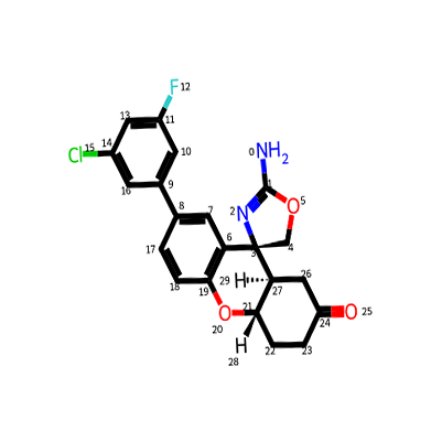 NC1=N[C@@]2(CO1)c1cc(-c3cc(F)cc(Cl)c3)ccc1O[C@H]1CCC(=O)C[C@@H]12